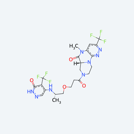 C[C@@H](COCCC(=O)N1CCN2c3nnc(C(F)(F)F)cc3N(C)C(=O)[C@H]2C1)Nc1cn[nH]c(=O)c1C(F)(F)F